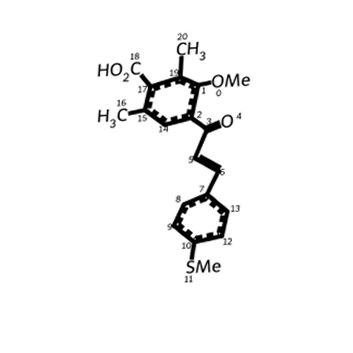 COc1c(C(=O)C=Cc2ccc(SC)cc2)cc(C)c(C(=O)O)c1C